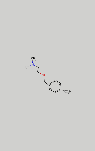 CN(C)CCOCc1ccc(C(=O)O)cc1